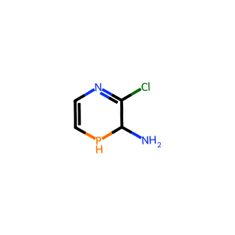 NC1PC=CN=C1Cl